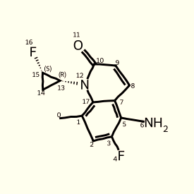 Cc1cc(F)c(N)c2ccc(=O)n([C@@H]3C[C@@H]3F)c12